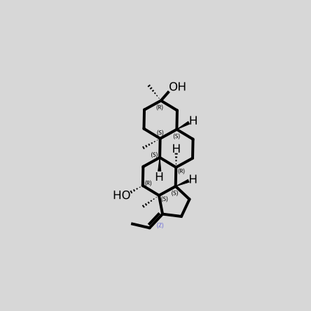 C/C=C1/CC[C@H]2[C@@H]3CC[C@H]4C[C@](C)(O)CC[C@]4(C)[C@H]3C[C@@H](O)[C@]12C